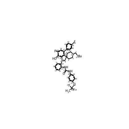 CC(C)(C)CN1CCC2(CC1)CN(c1ccccc1NC(=O)Nc1ccc(OC(C)(F)F)cc1)c1c(O)c(F)cc(-c3ccc(F)cc3)c12